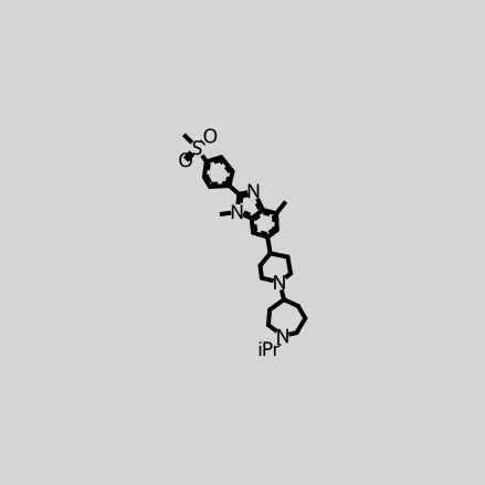 Cc1cc(C2CCN(C3CCCN(C(C)C)CC3)CC2)cc2c1nc(-c1ccc(S(C)(=O)=O)cc1)n2C